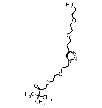 CCCOCCOCCc1cn(CCOCCOCC(=O)C(C)(C)C)nn1